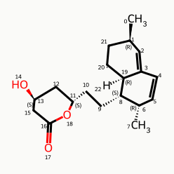 C[C@H]1C=C2C=C[C@H](C)[C@H](CC[C@H]3C[C@H](O)CC(=O)O3)[C@H]2[CH]C1